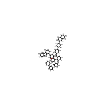 c1ccc(C2(c3ccccc3)c3ccccc3-c3c(-c4ccccc4N(c4ccc(-c5ccc(-c6ccc7ccccc7c6)cc5)cc4)c4cccc(-c5cccc6c5oc5ccccc56)c4)cccc32)cc1